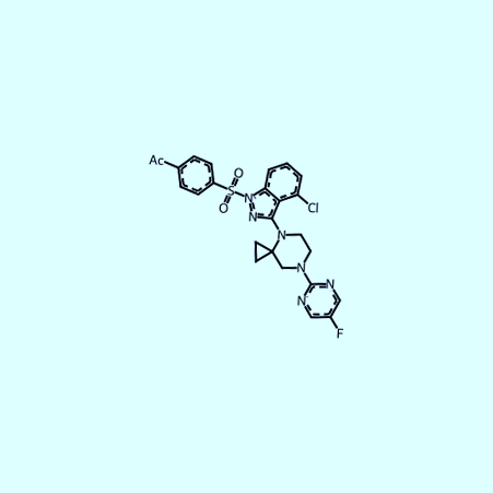 CC(=O)c1ccc(S(=O)(=O)n2nc(N3CCN(c4ncc(F)cn4)CC34CC4)c3c(Cl)cccc32)cc1